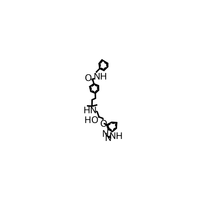 CC(C)(CCc1ccc(C(=O)NCc2ccccc2)cc1)NC[C@H](O)COc1cccc2[nH]nnc12